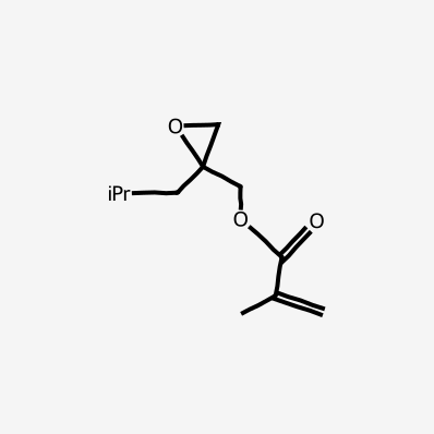 C=C(C)C(=O)OCC1(CC(C)C)CO1